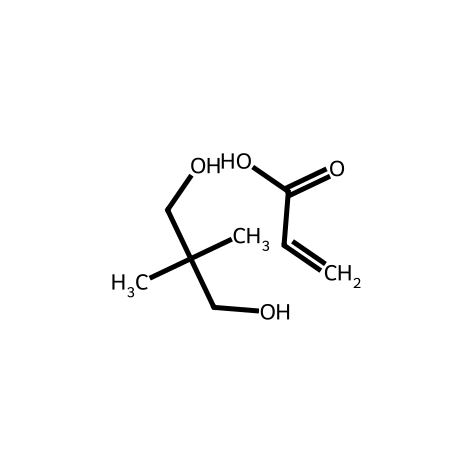 C=CC(=O)O.CC(C)(CO)CO